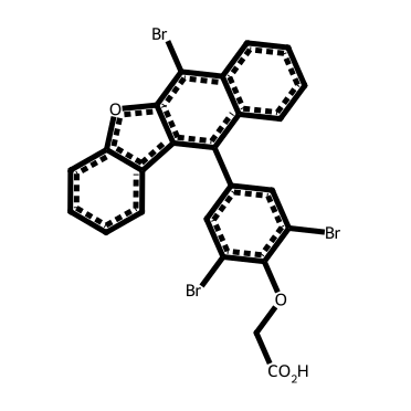 O=C(O)COc1c(Br)cc(-c2c3ccccc3c(Br)c3oc4ccccc4c23)cc1Br